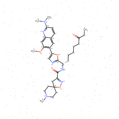 CCC(=O)CCCCC[C@H](NC(=O)C1=NOC2(CCN(C)CC2)C1)c1ncc(-c2cc3ccc(N(C)C)nc3cc2OC)o1